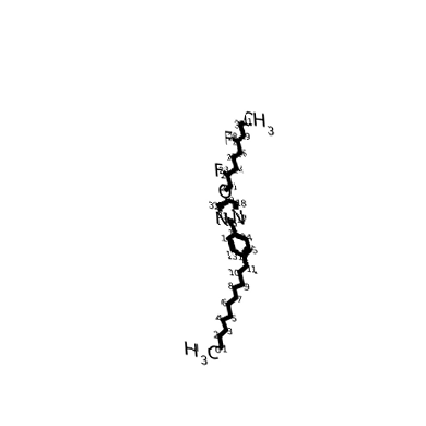 CCCCCCCCCCCCc1ccc(-c2ncc(OCC(F)CCCC(F)CCC)cn2)cc1